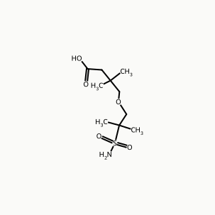 CC(C)(COCC(C)(C)S(N)(=O)=O)CC(=O)O